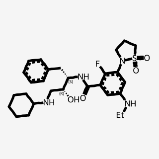 CCNc1cc(C(=O)N[C@@H](Cc2ccccc2)[C@H](O)CNC2CCCCC2)c(F)c(N2CCCS2(=O)=O)c1